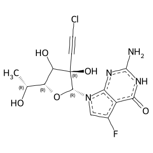 C[C@@H](O)[C@H]1O[C@@H](n2cc(F)c3c(=O)[nH]c(N)nc32)[C@@](O)(C#CCl)C1O